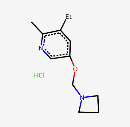 CCc1cc(OCN2CCC2)cnc1C.Cl